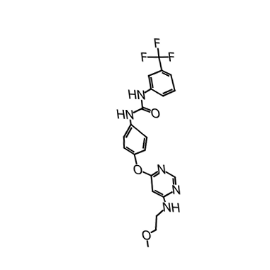 COCCNc1cc(Oc2ccc(NC(=O)Nc3cccc(C(F)(F)F)c3)cc2)ncn1